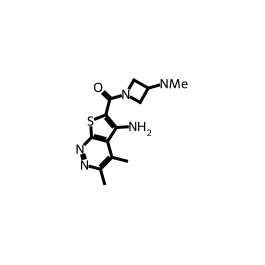 CNC1CN(C(=O)c2sc3nnc(C)c(C)c3c2N)C1